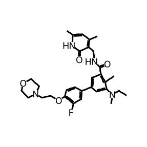 CCN(C)c1cc(-c2ccc(OCCN3CCOCC3)c(F)c2)cc(C(=O)NCc2c(C)cc(C)[nH]c2=O)c1C